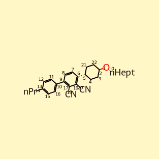 CCCCCCCO[C@H]1CC[C@H](c2ccc(-c3ccc(CCC)cc3)c(C#N)c2C#N)CC1